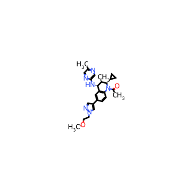 COCCn1cc(-c2ccc3c(c2)[C@H](Nc2cnc(C)cn2)[C@@H](C)[C@H](C2CC2)N3C(C)=O)cn1